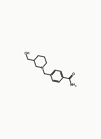 NC(=O)c1ccc(CN2CCCC(CO)C2)cc1